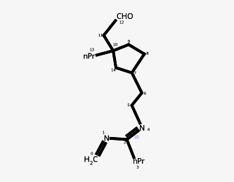 C=N/C(CCC)=N\CCC1CCC(CC=O)(CCC)C1